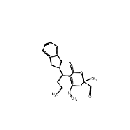 C=NC1=C(C(CCC)C2Cc3ccccc3C2)C(=O)OC(C)(CO)C1